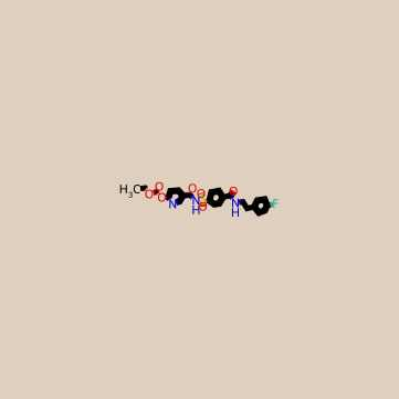 CCOC(=O)Oc1ccc(C(=O)NS(=O)(=O)c2ccc(C(=O)NCCc3ccc(F)cc3)cc2)cn1